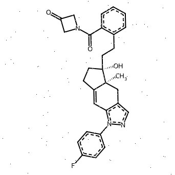 C[C@]12Cc3cnn(-c4ccc(F)cc4)c3C=C1CC[C@@]2(O)CCc1ccccc1C(=O)N1CC(=O)C1